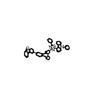 c1ccc(-c2nc(-c3ccc4c5cc(-c6ccc7oc8ccccc8c7c6)ccc5c5ccccc5c4c3)nc(-c3cccc4c3c3ccccc3n4-c3ccccc3)n2)cc1